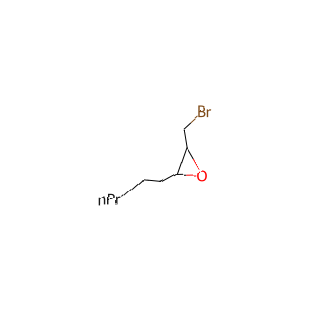 CCCCCC1OC1CBr